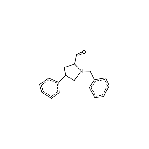 O=CC1CC(c2ccccc2)CN1Cc1ccccc1